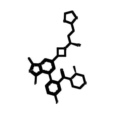 Cc1nc(F)c2c(-c3ccc(F)cc3C(=O)N3CCOC[C@H]3C)cc(C3CN([C@@H](CCC4OCCO4)C(C)C)C3)cn12